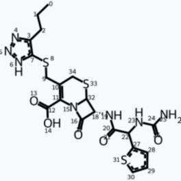 CCCc1nn[nH]c1SCC1=C(C(=O)O)N2C(=O)[C@@H](NC(=O)C(NC(N)=O)c3cccs3)C2SC1